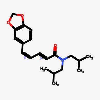 CC(C)CN(CC(C)C)C(=O)/C=C/C=C\c1ccc2c(c1)OCO2